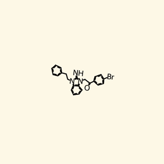 N=c1n(CCc2ccccc2)c2ccccc2n1CC(=O)c1ccc(Br)cc1